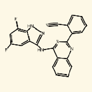 N#Cc1ccccc1-c1nc(Nc2n[nH]c3c(F)cc(F)cc23)c2ccccc2n1